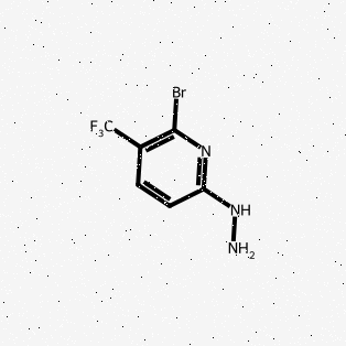 NNc1ccc(C(F)(F)F)c(Br)n1